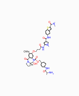 COc1cc2c(cc1OCCCC(=O)Nc1cc(C(=O)Nc3ccc4sc(C(=O)N(C)C)cc4c3)cn1C)N(C(=O)OCc1ccc(NC(=O)C(C)N)cc1)C(O)[C@@H]1CCCN1C2=O